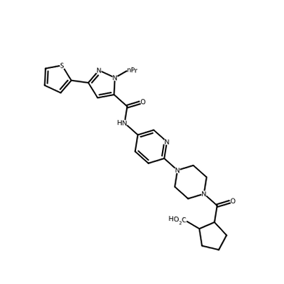 CCCn1nc(-c2cccs2)cc1C(=O)Nc1ccc(N2CCN(C(=O)C3CCCC3C(=O)O)CC2)nc1